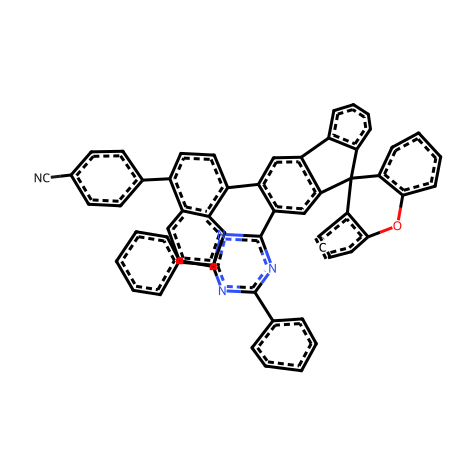 N#Cc1ccc(-c2ccc(-c3cc4c(cc3-c3nc(-c5ccccc5)nc(-c5ccccc5)n3)C3(c5ccccc5Oc5ccccc53)c3ccccc3-4)c3ccccc23)cc1